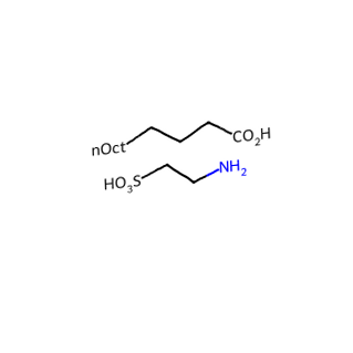 CCCCCCCCCCCC(=O)O.NCCS(=O)(=O)O